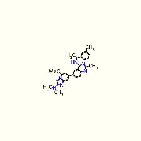 COc1cc(-c2ccc3nc(C)nc(NC(C)c4cccc(C)c4)c3c2)cc2nc(N(C)C)cn12